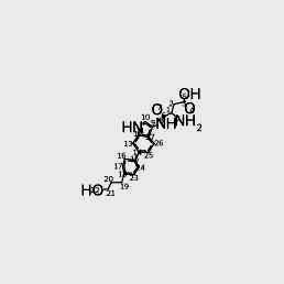 NC(CC(=O)O)C(=O)Nc1c[nH]c2cc(-c3ccc(CCCO)cc3)ccc12